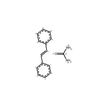 C(=Cc1ccccc1)c1ccccc1.NC(N)=O